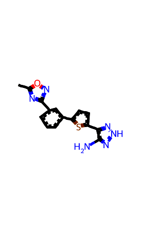 Cc1nc(-c2cccc(-c3ccc(-c4n[nH]nc4N)s3)c2)no1